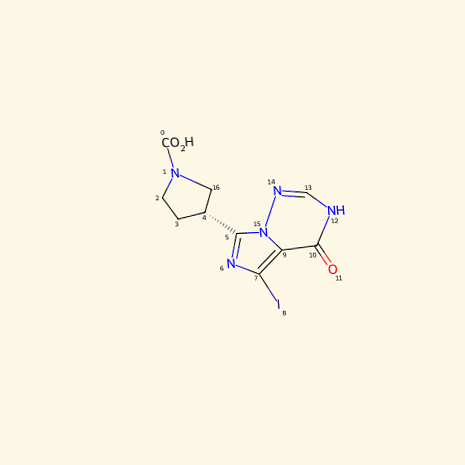 O=C(O)N1CC[C@@H](c2nc(I)c3c(=O)[nH]cnn23)C1